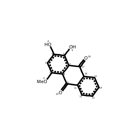 COc1cc(O)c(O)c2c1C(=O)c1ccccc1C2=O